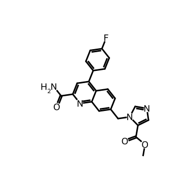 COC(=O)c1cncn1Cc1ccc2c(-c3ccc(F)cc3)cc(C(N)=O)nc2c1